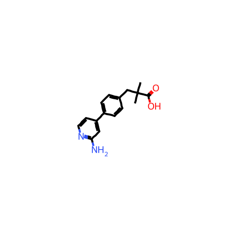 CC(C)(Cc1ccc(-c2ccnc(N)c2)cc1)C(=O)O